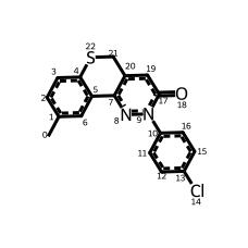 Cc1ccc2c(c1)-c1nn(-c3ccc(Cl)cc3)c(=O)cc1CS2